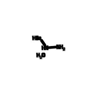 NN[SeH].O